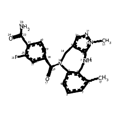 Cc1cccc2c1Nc1c(cnn1C)CN2C(=O)c1ccc(C(N)=O)c(F)c1